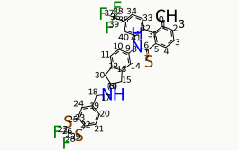 Cc1cccc(C(=S)Nc2ccc3c(c2)C[C@@H](NCc2ccc4c(c2)SC(F)(F)S4)C3)c1-c1ccc(C(F)(F)F)cc1